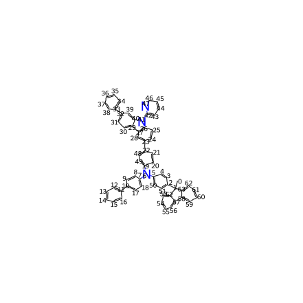 CC1(c2ccc(N(c3ccc(-c4ccccc4)cc3)c3ccc(-c4ccc5c(c4)c4ccc(-c6ccccc6)cc4n5-c4ccccn4)cc3)cc2)c2ccccc2-c2ccccc21